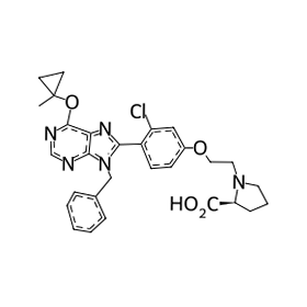 CC1(Oc2ncnc3c2nc(-c2ccc(OCCN4CCC[C@H]4C(=O)O)cc2Cl)n3Cc2ccccc2)CC1